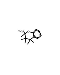 CC1(C)c2ccccc2OC(C)(S(=O)(=O)O)C1(C)C